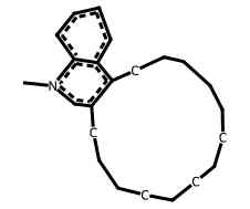 C[n+]1cc2c(c3ccccc31)CCCCCCCCCCCCC2